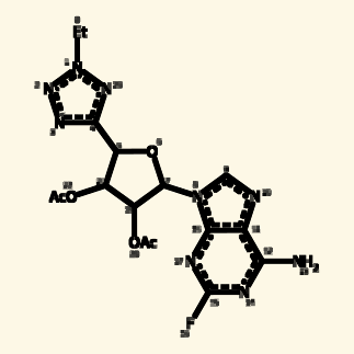 CCn1nnc(C2OC(n3cnc4c(N)nc(F)nc43)C(OC(C)=O)C2OC(C)=O)n1